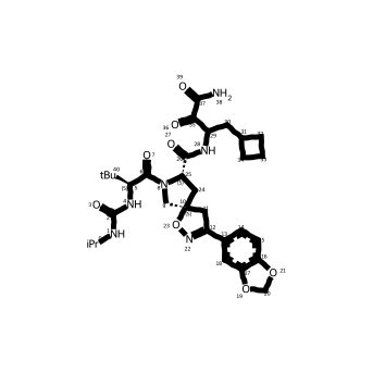 CC(C)NC(=O)N[C@H](C(=O)N1C[C@@]2(CC(c3ccc4c(c3)OCO4)=NO2)C[C@H]1C(=O)NC(CC1CCC1)C(=O)C(N)=O)C(C)(C)C